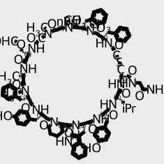 CCCC[C@H]1C(=O)N(C)CC(=O)N[C@@H](COC=O)C(=O)N[C@@H](C)C(=O)N(C)[C@@H](Cc2ccccc2)C(=O)N[C@@H](Cc2ccc(O)cc2)C(=O)N2CCCC[C@@H]2C(=O)N[C@@H](Cc2c[nH]c3ccccc23)C(=O)N[C@@H](Cc2ccc(O)cc2)C(=O)N[C@@H](CC(C)C)C(=O)N[C@H](C(=O)NCC(N)=O)CSCC(=O)N[C@@H](Cc2ccccc2)C(=O)N(C)[C@@H](Cc2ccccc2)C(=O)N1C